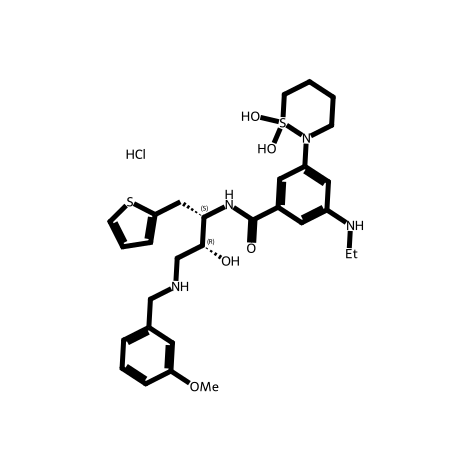 CCNc1cc(C(=O)N[C@@H](Cc2cccs2)[C@H](O)CNCc2cccc(OC)c2)cc(N2CCCCS2(O)O)c1.Cl